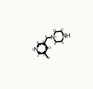 Cc1cncc(CN2CCNCC2)c1